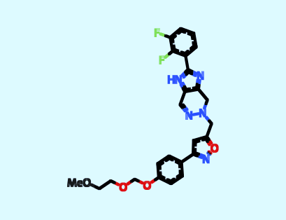 COCCOCOc1ccc(-c2cc(CN3Cc4nc(-c5cccc(F)c5F)[nH]c4C=N3)on2)cc1